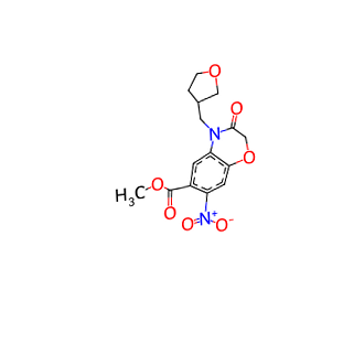 COC(=O)c1cc2c(cc1[N+](=O)[O-])OCC(=O)N2CC1CCOC1